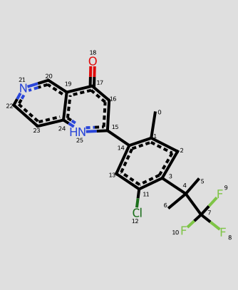 Cc1cc(C(C)(C)C(F)(F)F)c(Cl)cc1-c1cc(=O)c2cnccc2[nH]1